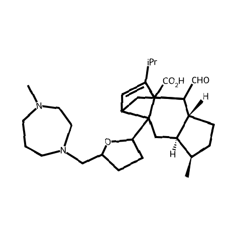 CC(C)C1=CC2CC3(C=O)[C@@H]4CC[C@@H](C)[C@H]4CC2(C2CCC(CN4CCCN(C)CC4)O2)C13C(=O)O